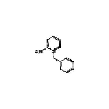 O=[N+]([O-])c1cccc[si]1Cc1ccccc1